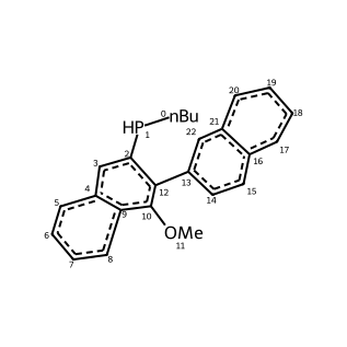 CCCCPc1cc2ccccc2c(OC)c1-c1ccc2ccccc2c1